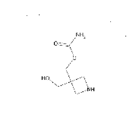 NC(=O)OCC1(CO)CNC1